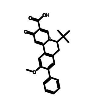 COc1cc2c(cc1-c1ccccc1)CC(C(C)(C)C)n1cc(C(=O)O)c(=O)cc1-2